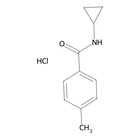 Cc1ccc(C(=O)NC2CC2)cc1.Cl